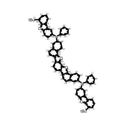 CC(C)(C)c1cccc2c1oc1ccc(N(c3ccccc3)c3ccc4c(ccc5c6ccc7c8ccc9cc(N(c%10ccccc%10)c%10ccc%11oc%12c(C(C)(C)C)cccc%12c%11c%10)ccc9c8oc7c6oc45)c3)cc12